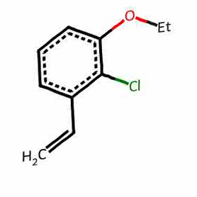 C=Cc1cccc(OCC)c1Cl